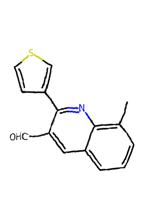 Cc1cccc2cc(C=O)c(-c3ccsc3)nc12